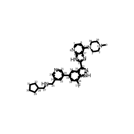 CN1CCN(c2ccnc3[nH]c(-c4n[nH]c5c(F)cc(-c6cncc(CNCC7CCCC7)c6)cc45)nc23)CC1